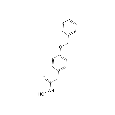 O=C(Cc1ccc(OCc2ccccc2)cc1)NO